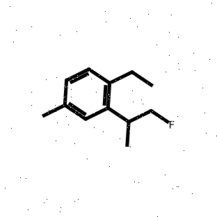 [CH2]C(CF)c1cc(C)ccc1CC